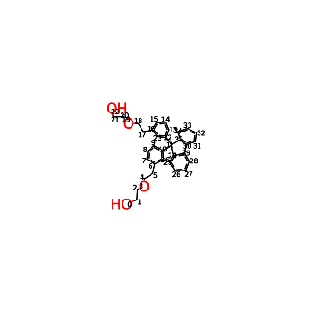 OCCOCCc1cccc(C2(c3cccc(CCOCCO)c3)c3ccccc3-c3ccccc32)c1